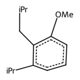 COc1cccc(C(C)C)c1CC(C)C